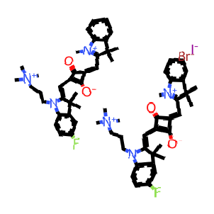 C[N+]1=C(/C=C2\C(=O)C(/C=C3/N(CCC[N+](C)(C)C)c4ccc(F)cc4C3(C)C)=C2[O-])C(C)(C)c2ccccc21.C[N+]1=C(/C=C2\C(=O)C(/C=C3/N(CCC[N+](C)(C)C)c4ccc(F)cc4C3(C)C)=C2[O-])C(C)(C)c2ccccc21.[Br-].[I-]